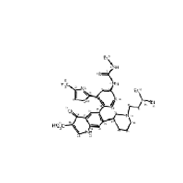 CCNC(=O)Nc1cc(-c2nc(C(F)(F)F)cs2)c(-c2cc3c(=O)c(C(=O)O)c[nH]c3cc2C2CCCN(CCN(CC)CC)C2)cn1